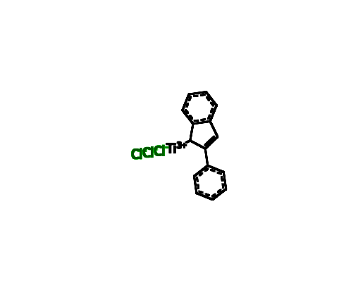 [Cl-].[Cl-].[Cl-].[Ti+3][CH]1C(c2ccccc2)=Cc2ccccc21